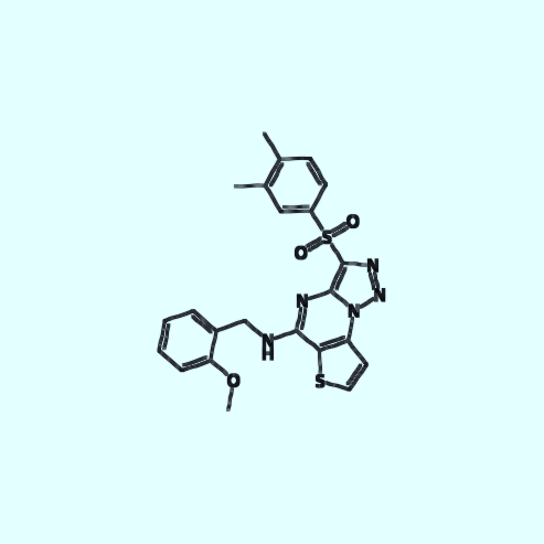 COc1ccccc1CNc1nc2c(S(=O)(=O)c3ccc(C)c(C)c3)nnn2c2ccsc12